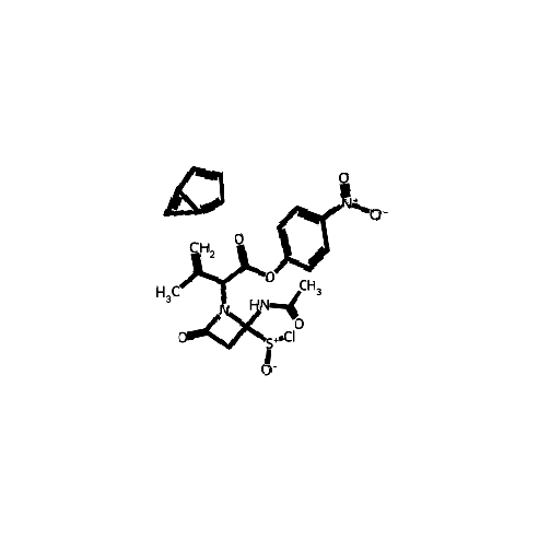 C=C(C)C(C(=O)Oc1ccc([N+](=O)[O-])cc1)N1C(=O)CC1(NC(C)=O)[S+]([O-])Cl.c1cc2cc-2c1